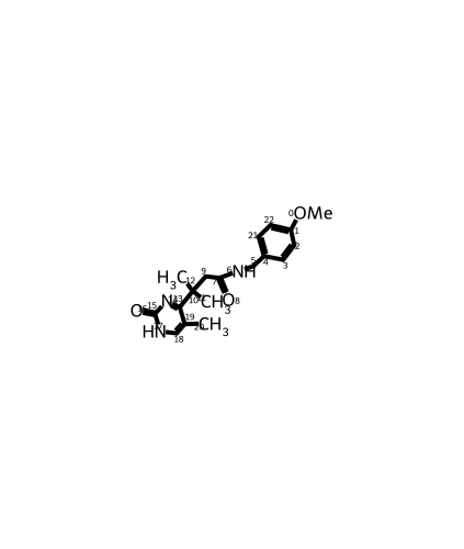 COc1ccc(CNC(=O)CC(C)(C)c2nc(=O)[nH]cc2C)cc1